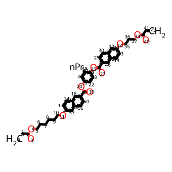 C=CC(=O)OCCCCCCOc1ccc2cc(C(=O)Oc3ccc(OC(=O)c4ccc5cc(OCCCOC(=O)C=C)ccc5c4)c(CCC)c3)ccc2c1